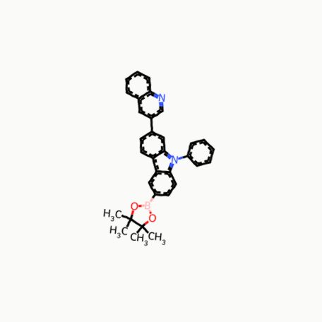 CC1(C)OB(c2ccc3c(c2)c2ccc(-c4cnc5ccccc5c4)cc2n3-c2ccccc2)OC1(C)C